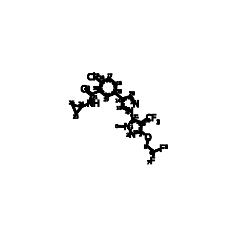 Cn1nc(OCC(F)F)c(C(F)(F)F)c1-n1cc(-c2ccc(Cl)c(C(=O)NC3CC3)c2)cn1